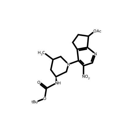 CC(=O)OC1CCc2c1ncc([N+](=O)[O-])c2N1CC(C)C[C@H](NC(=O)OC(C)(C)C)C1